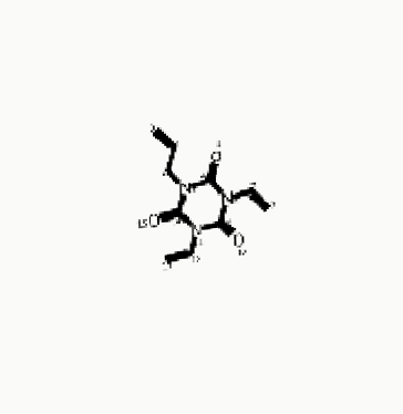 C=CCn1c(=O)n(C=C)c(=O)n(C=C)c1=O